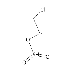 O=[SH](=O)O[CH]CCl